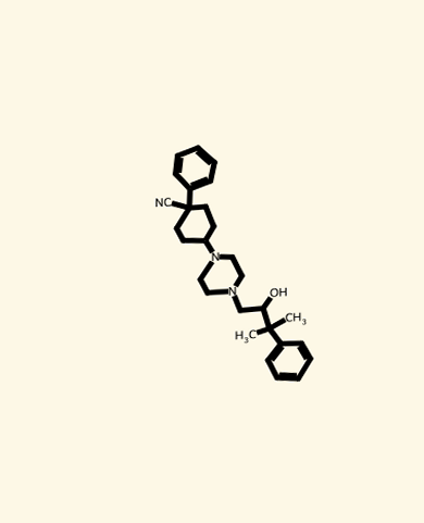 CC(C)(c1ccccc1)C(O)CN1CCN(C2CCC(C#N)(c3ccccc3)CC2)CC1